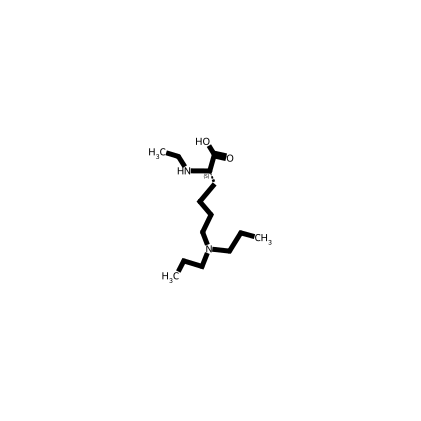 CCCN(CCC)CCCC[C@H](NCC)C(=O)O